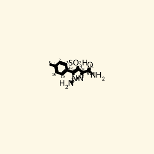 Cc1ccc(-c2c(S(=O)(=O)O)c(C(N)=O)nn2N)cc1